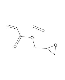 C=CC(=O)OCC1CO1.C=O